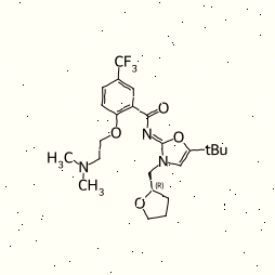 CN(C)CCOc1ccc(C(F)(F)F)cc1C(=O)N=c1oc(C(C)(C)C)cn1C[C@H]1CCCO1